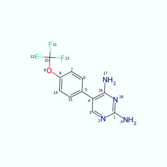 Nc1ncc(-c2ccc(OC(F)(F)F)cc2)c(N)n1